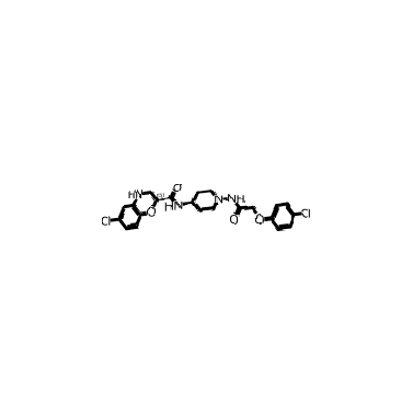 O=C(COc1ccc(Cl)cc1)NN1CCC(NC(=O)[C@@H]2CNc3cc(Cl)ccc3O2)CC1